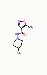 CCCC1CCN(NC(=O)c2cnoc2C)CC1